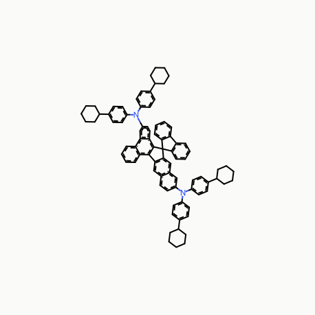 c1ccc2c(c1)-c1ccccc1C21c2cc3cc(N(c4ccc(C5CCCCC5)cc4)c4ccc(C5CCCCC5)cc4)ccc3cc2-c2c1c1ccc(N(c3ccc(C4CCCCC4)cc3)c3ccc(C4CCCCC4)cc3)cc1c1ccccc21